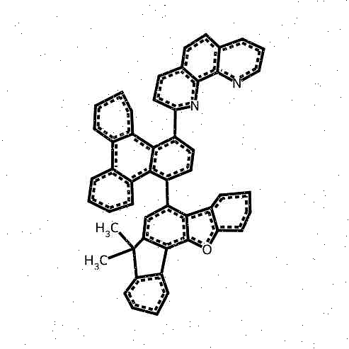 CC1(C)c2ccccc2-c2c1cc(-c1ccc(-c3ccc4ccc5cccnc5c4n3)c3c4ccccc4c4ccccc4c13)c1c2oc2ccccc21